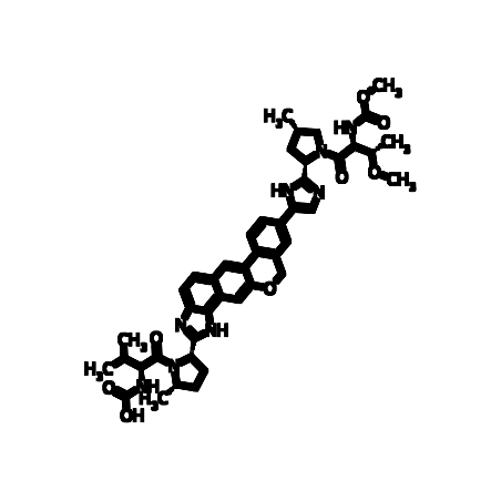 COC(=O)N[C@H](C(=O)N1C[C@@H](C)C[C@H]1c1ncc(-c2ccc3c(c2)COc2cc4c(ccc5nc([C@@H]6CC[C@H](C)N6C(=O)[C@@H](NC(=O)O)C(C)C)[nH]c54)cc2-3)[nH]1)[C@H](C)OC